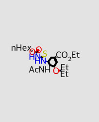 CCCCCCOC(=O)NC(=S)N[C@H]1CC(C(=O)OCC)=C[C@@H](OC(CC)CC)[C@@H]1NC(C)=O